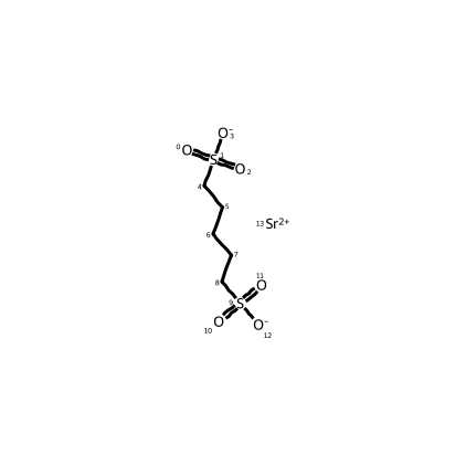 O=S(=O)([O-])CCCCCS(=O)(=O)[O-].[Sr+2]